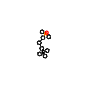 O=P(c1ccccc1)(c1ccccc1)c1ccc(-c2cccc(-c3ccc([Si](c4ccccc4)(c4ccccc4)c4ccccc4)cc3)c2)cc1